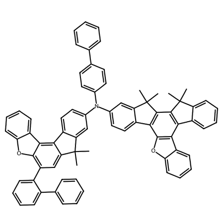 CC1(C)c2cc(N(c3ccc(-c4ccccc4)cc3)c3ccc4c(c3)C(C)(C)c3c5c(c6c(oc7ccccc76)c3-4)-c3ccccc3C5(C)C)ccc2-c2c1cc(-c1ccccc1-c1ccccc1)c1oc3ccccc3c21